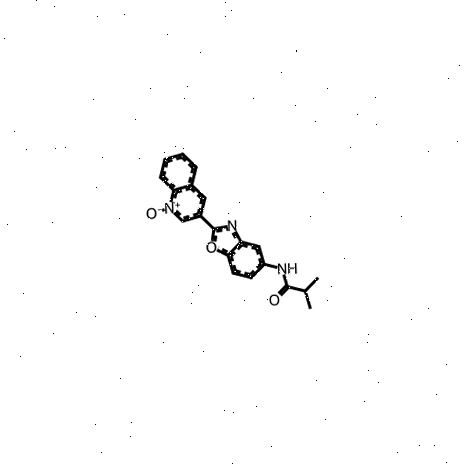 CC(C)C(=O)Nc1ccc2oc(-c3cc4ccccc4[n+]([O-])c3)nc2c1